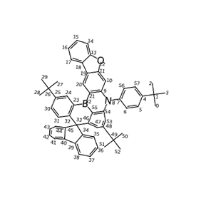 CC(C)(C)c1ccc(N2c3cc4oc5ccccc5c4cc3B3c4cc(C(C)(C)C)ccc4C4(c5ccccc5-c5ccccc54)c4cc(C(C)(C)C)cc2c43)cc1